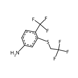 Nc1ccc(C(F)(F)F)c(SCC(F)(F)F)c1